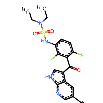 CCN(CC)S(=O)(=O)Nc1ccc(F)c(C(=O)c2c[nH]c3ncc(C#N)cc23)c1F